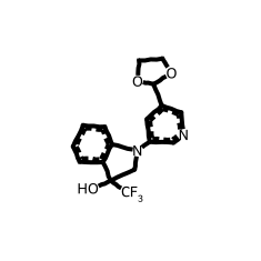 OC1(C(F)(F)F)CN(c2cncc(C3OCCO3)c2)c2ccccc21